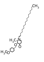 CCCCCCCCCCCCCCCCC=Cn1ccc(=O)c(OCc2ccc(OC)cc2)c1C